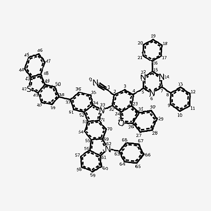 N#Cc1cc(-c2nc(-c3ccccc3)nc(-c3ccccc3)n2)c2c(oc3ccccc32)c1-n1c2ccc(-c3ccc4sc5ccccc5c4c3)cc2c2cc3c4ccccc4n(-c4ccccc4)c3cc21